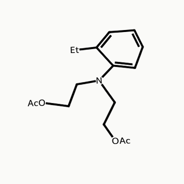 CCc1ccccc1N(CCOC(C)=O)CCOC(C)=O